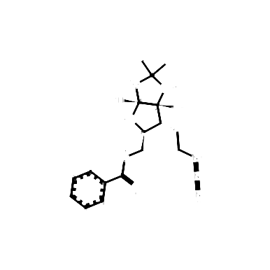 CC1(C)O[C@H]2O[C@H](COC(=O)c3ccccc3)[C@@H](CCN=[N+]=[N-])[C@H]2O1